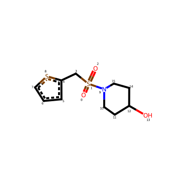 O=S(=O)(Cc1cccs1)N1CCC(O)CC1